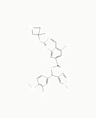 COc1ccc(C(NC(=O)c2cc(F)c3cnc(NC4(C)COC4)nc3c2)c2cnn(C)c2)cc1F